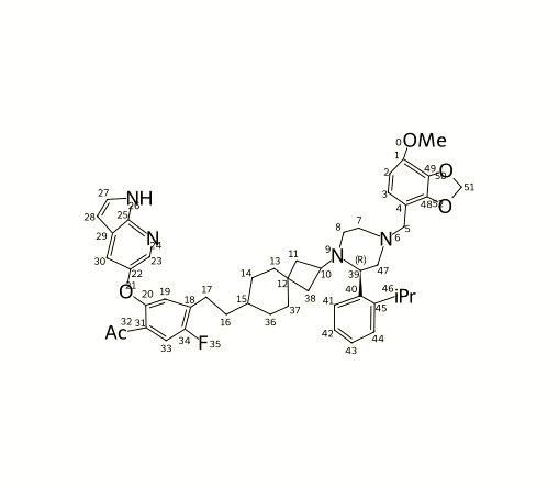 COc1ccc(CN2CCN(C3CC4(CCC(CCc5cc(Oc6cnc7[nH]ccc7c6)c(C(C)=O)cc5F)CC4)C3)[C@H](c3ccccc3C(C)C)C2)c2c1OCO2